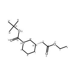 CCOC(=O)C[C@@H]1CCCN(C(=O)OC(C)(C)C)C1